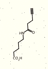 C#CCCC(=O)NCCCCC(=O)O